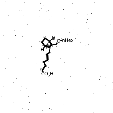 CCCCCCOC[C@H]1[C@@H](CC=CCCCC(=O)O)[C@@H]2CC[C@H]1O2